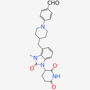 Cn1c(=O)n(C2CCC(=O)NC2=O)c2cccc(CC3CCN(c4ccc(C=O)cc4)CC3)c21